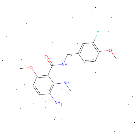 CNc1c(N)ccc(OC)c1C(=O)NCc1ccc(OC)c(F)c1